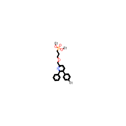 CCOP(=O)(CCCOCc1ccc(-c2ccc(CC)cc2)c(-c2ccccc2)n1)OCC